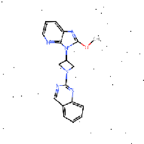 COc1nc2cccnc2n1C1CN(c2ncc3ccccc3n2)C1